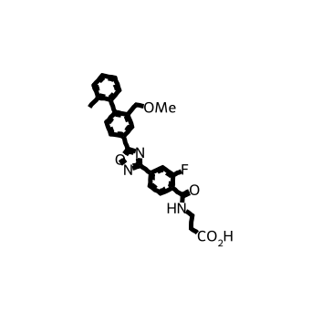 COCc1cc(-c2nc(-c3ccc(C(=O)NCCC(=O)O)c(F)c3)no2)ccc1-c1ccccc1C